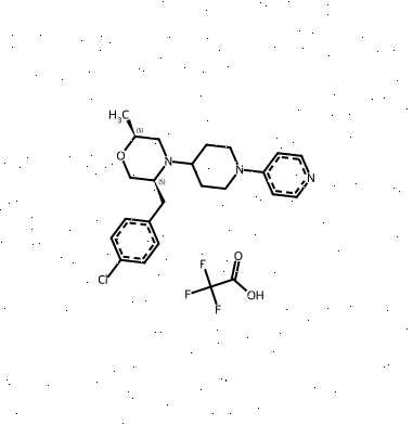 C[C@H]1CN(C2CCN(c3ccncc3)CC2)[C@@H](Cc2ccc(Cl)cc2)CO1.O=C(O)C(F)(F)F